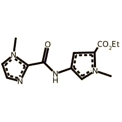 CCOC(=O)c1cc(NC(=O)c2nccn2C)cn1C